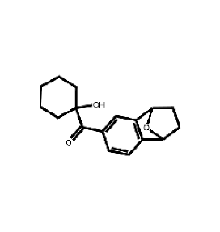 O=C(c1ccc2c(c1)C1CCC2O1)C1(O)CCCCC1